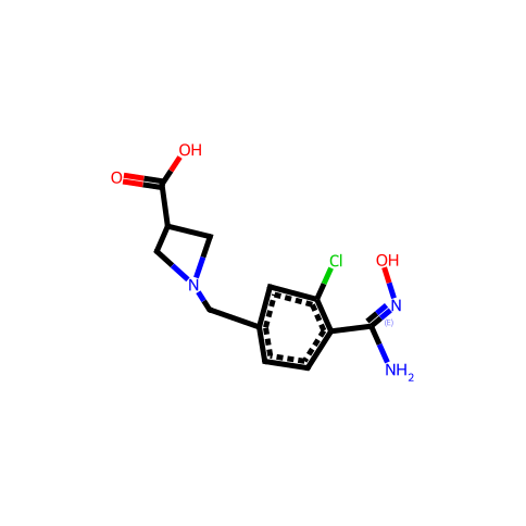 N/C(=N/O)c1ccc(CN2CC(C(=O)O)C2)cc1Cl